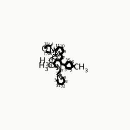 Cc1ccc(C2C(=Cc3cccc(N4CCOCC4)n3)C(=O)C(C)(C)CN2CCN2CCCCC2)cc1